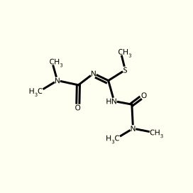 CSC(=NC(=O)N(C)C)NC(=O)N(C)C